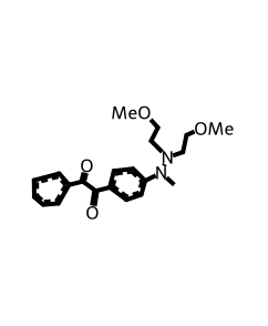 COCCN(CCOC)N(C)c1ccc(C(=O)C(=O)c2ccccc2)cc1